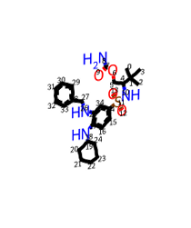 CC(C)(C)C(COC(N)=O)NS(=O)(=O)c1ccc(NC2CCCCC2)c(NCc2ccccc2)c1